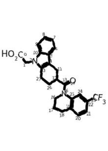 O=C(O)Cn1c2c(c3ccccc31)CC(C(=O)N1CCCc3ccc(C(F)(F)F)cc31)CC2